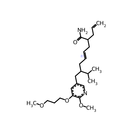 C=CCC(C/C=C/CC(Cc1cnc(OC)c(OCCCOC)c1)C(C)C)C(N)=O